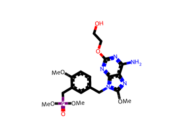 COc1ccc(Cn2c(OC)nc3c(N)nc(OCCO)nc32)cc1CP(=O)(OC)OC